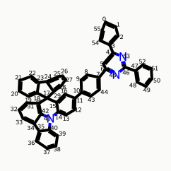 c1ccc(-c2cc(-c3ccc(-c4ccc5c(c4)C4(c6ccccc6-c6ccccc64)c4cccc6c7ccccc7n-5c46)cc3)nc(-c3ccccc3)n2)cc1